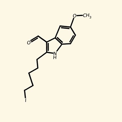 COc1ccc2[nH]c(CCCCCI)c(C=O)c2c1